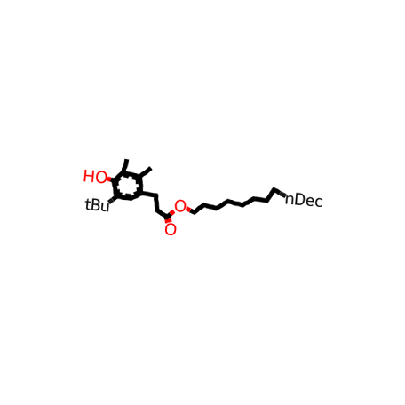 CCCCCCCCCCCCCCCCCCOC(=O)CCc1cc(C(C)(C)C)c(O)c(C)c1C